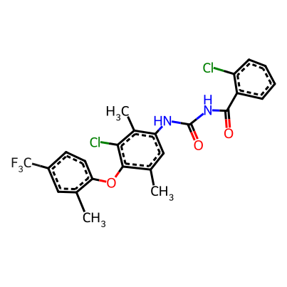 Cc1cc(C(F)(F)F)ccc1Oc1c(C)cc(NC(=O)NC(=O)c2ccccc2Cl)c(C)c1Cl